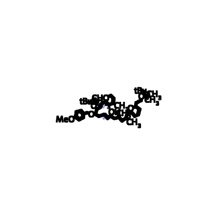 C=C(CC(O)/C=C/CC(OCc1ccc(OC)cc1)C(/C=C/C1CC(C)=CCO1)O[Si](C)(C)C(C)(C)C)CC(C)CC1CC=CC(CCO[Si](C)(C)C(C)(C)C)O1